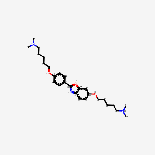 CN(C)CCCCCOc1ccc(-c2nc3ccc(OCCCCCN(C)C)cc3o2)cc1